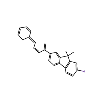 C=C(/C=C\C=C1\C=CC=CC1)c1ccc2c(c1)C(C)(C)c1cc(I)ccc1-2